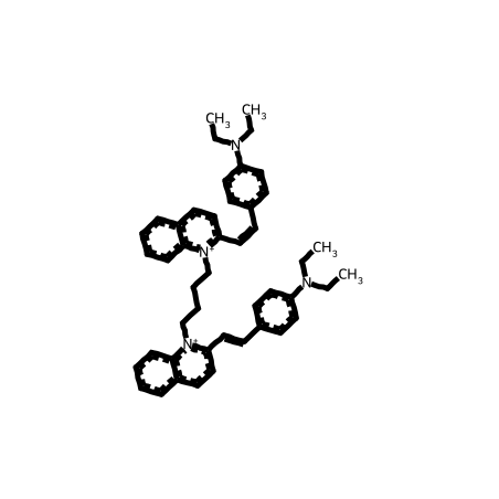 CCN(CC)c1ccc(/C=C\c2ccc3ccccc3[n+]2CCCC[n+]2c(/C=C/c3ccc(N(CC)CC)cc3)ccc3ccccc32)cc1